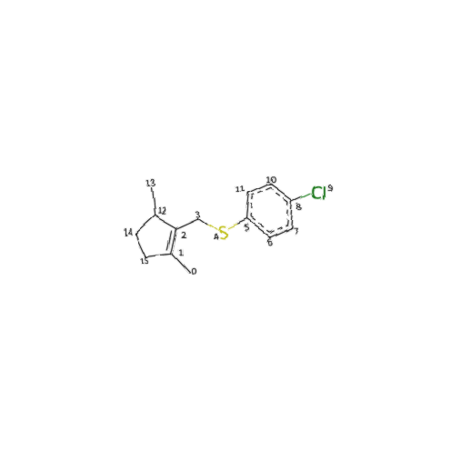 CC1=C(CSc2ccc(Cl)cc2)C(C)CC1